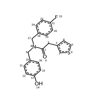 O=C(Cc1ccsc1)N(Cc1ccc(O)cc1)Cc1ccc(F)cc1